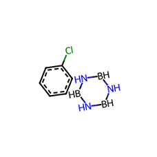 B1NBNBN1.Clc1ccccc1